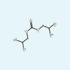 CCC(S)COC(=O)OCC(S)CC